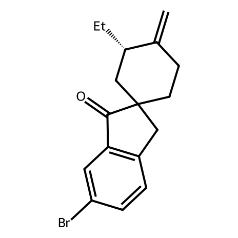 C=C1CCC2(Cc3ccc(Br)cc3C2=O)C[C@@H]1CC